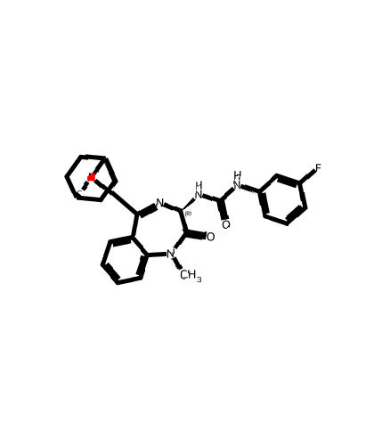 CN1C(=O)[C@H](NC(=O)Nc2cccc(F)c2)N=C(N2CC3CCC(CC3)C2)c2ccccc21